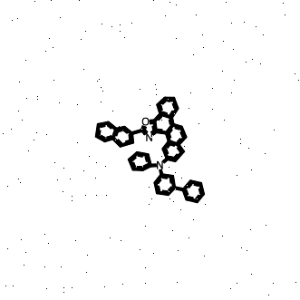 c1ccc(-c2cccc(N(c3ccccc3)c3ccc4ccc5c6ccccc6c6oc(-c7ccc8ccccc8c7)nc6c5c4c3)c2)cc1